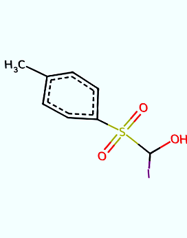 Cc1ccc(S(=O)(=O)C(O)I)cc1